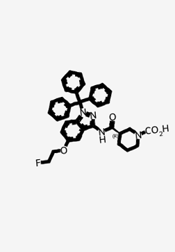 O=C(Nc1nn(C(c2ccccc2)(c2ccccc2)c2ccccc2)c2ccc(OCCF)cc12)[C@@H]1CCCN(C(=O)O)C1